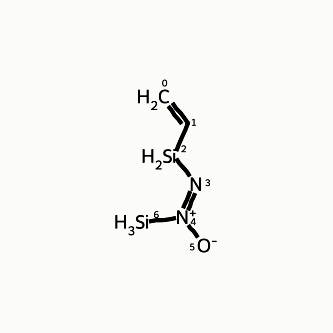 C=C[SiH2]N=[N+]([O-])[SiH3]